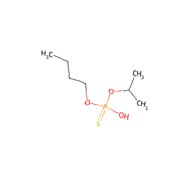 CCCCOP(O)(=S)OC(C)C